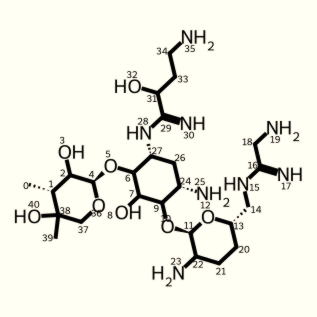 C[C@@H]1C(O)[C@@H](OC2C(O)C(O[C@H]3O[C@H](CNC(=N)CN)CCC3N)[C@@H](N)C[C@H]2NC(=N)C(O)CCN)OCC1(C)O